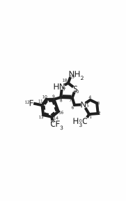 CC1CCCN1CC1=C(c2cc(F)cc(C(F)(F)F)c2)NC(N)S1